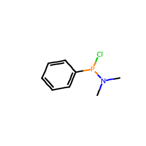 CN(C)P(Cl)c1ccccc1